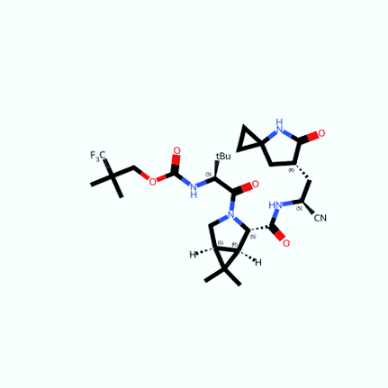 CC(C)(C)[C@H](NC(=O)OCC(C)(C)C(F)(F)F)C(=O)N1C[C@H]2[C@@H]([C@H]1C(=O)N[C@H](C#N)C[C@@H]1CC3(CC3)NC1=O)C2(C)C